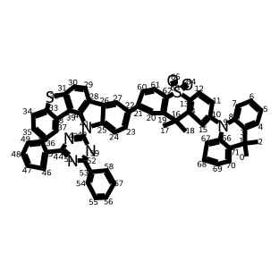 CC1(C)c2ccccc2N(c2ccc3c(c2)C(C)(C)c2cc(-c4ccc5c(c4)c4ccc6sc7ccccc7c6c4n5-c4nc(-c5ccccc5)nc(-c5ccccc5)n4)ccc2S3(=O)=O)c2ccccc21